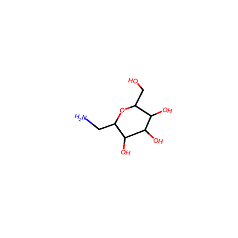 NCC1OC(CO)C(O)C(O)C1O